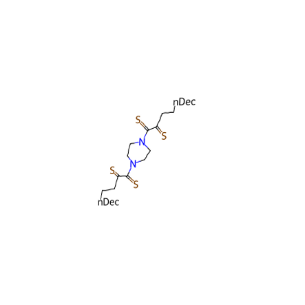 CCCCCCCCCCCCC(=S)C(=S)N1CCN(C(=S)C(=S)CCCCCCCCCCCC)CC1